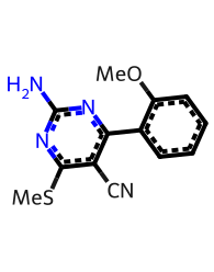 COc1ccccc1-c1nc(N)nc(SC)c1C#N